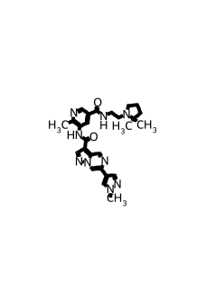 Cc1ncc(C(=O)NCCN2CCCC2(C)C)cc1NC(=O)c1cnn2cc(-c3cnn(C)c3)ncc12